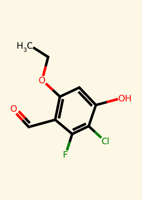 CCOc1cc(O)c(Cl)c(F)c1C=O